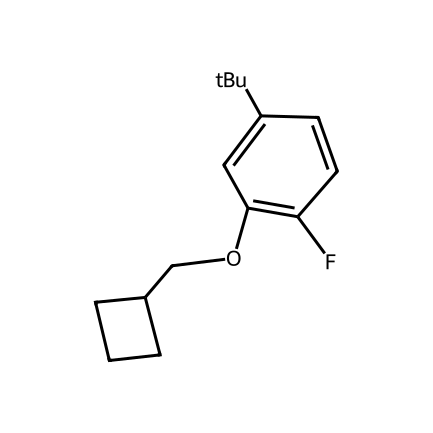 CC(C)(C)c1ccc(F)c(OCC2CCC2)c1